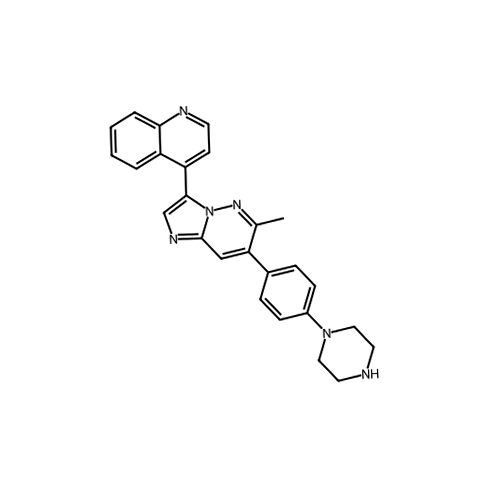 Cc1nn2c(-c3ccnc4ccccc34)cnc2cc1-c1ccc(N2CCNCC2)cc1